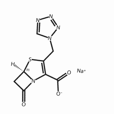 O=C([O-])C1=C(Cn2cnnn2)S[C@@H]2CC(=O)N12.[Na+]